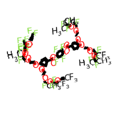 CC(F)(COCCOc1ccc(C(=O)Oc2c(F)c(F)c(OC(=O)c3ccc(OCCOCC(F)(OC(F)(F)C(C)(C)F)C(F)(F)F)c(OCCOCC(F)(OC(F)(F)C(C)(C)F)C(F)(F)F)c3)c(F)c2F)cc1OCCOCC(C)(F)OC(F)(F)C(F)(OC#CC(F)(F)F)C(F)(F)F)OC(F)(F)C(F)(OC#CC(F)F)C(F)F